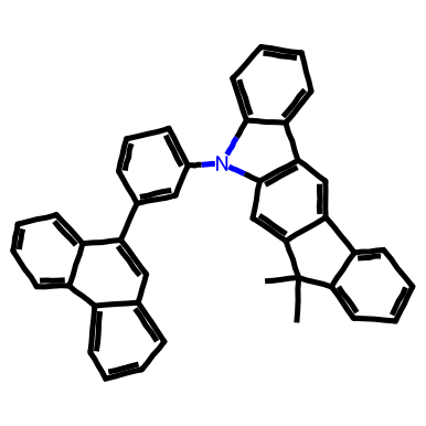 CC1(C)c2ccccc2-c2cc3c4ccccc4n(-c4cccc(-c5cc6ccccc6c6ccccc56)c4)c3cc21